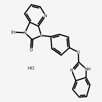 CCn1c(=O)n(-c2ccc(Oc3nc4ccccc4[nH]3)cc2)c2ncccc21.Cl